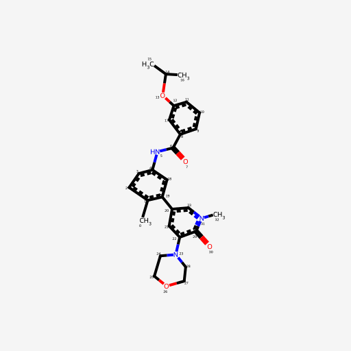 Cc1ccc(NC(=O)c2cccc(OC(C)C)c2)cc1-c1cc(N2CCOCC2)c(=O)n(C)c1